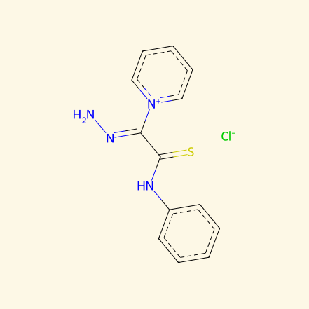 NN=C(C(=S)Nc1ccccc1)[n+]1ccccc1.[Cl-]